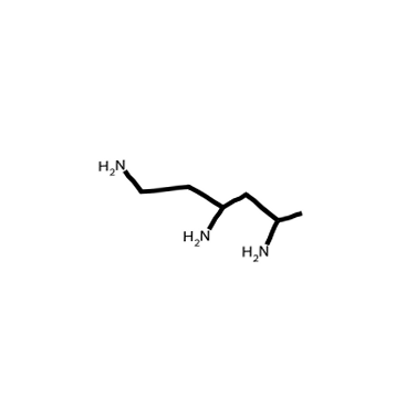 CC(N)CC(N)CCN